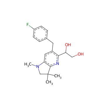 CN1CC(C)(C)c2nc(C(O)CO)c(Cc3ccc(F)cc3)cc21